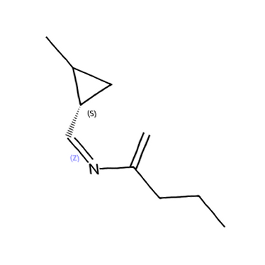 C=C(CCC)/N=C\[C@H]1CC1C